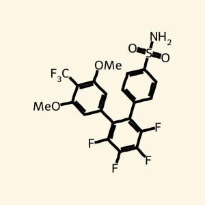 COc1cc(-c2c(F)c(F)c(F)c(F)c2-c2ccc(S(N)(=O)=O)cc2)cc(OC)c1C(F)(F)F